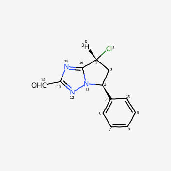 [2H][C@@]1(Cl)C[C@@H](c2ccccc2)n2nc(C=O)nc21